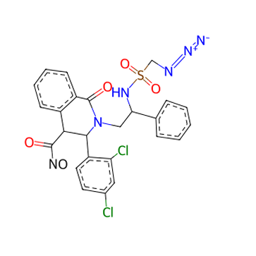 [N-]=[N+]=NCS(=O)(=O)NC(CN1C(=O)c2ccccc2C(C(=O)N=O)C1c1ccc(Cl)cc1Cl)c1ccccc1